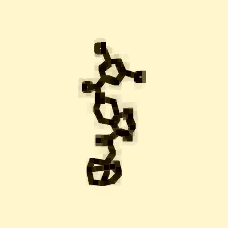 O=C(c1cc(Cl)cc(Cl)c1)N1CCc2c(ncnc2NCC23CC4CC(CC(C4)C2)C3)C1